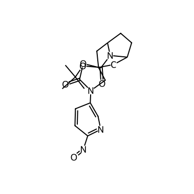 CC(C)(C)OC(=O)N1C2CCC1CC1(C2)CN(c2ccc(N=O)nc2)C(=O)O1